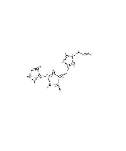 CC(=O)OCc1ccc(/C=C2\N=C(c3cccs3)OC2=O)o1